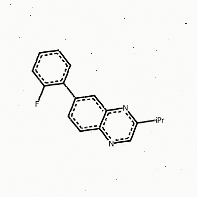 CC(C)c1cnc2ccc(-c3ccccc3F)cc2n1